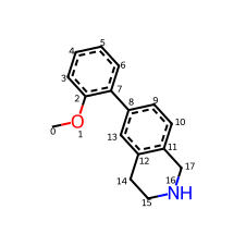 COc1ccccc1-c1ccc2c(c1)CCNC2